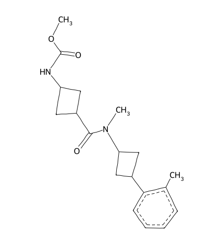 COC(=O)NC1CC(C(=O)N(C)C2CC(c3ccccc3C)C2)C1